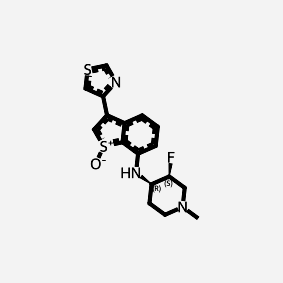 CN1CC[C@@H](Nc2cccc3c(-c4cscn4)c[s+]([O-])c23)[C@@H](F)C1